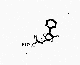 CCOC(=O)[C@@H](N)Cc1nc(C)c(-c2ccccc2)o1